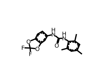 Cc1cc(C)c(NC(=O)Nc2ccc3c(c2)OC(F)(F)O3)c(C)c1